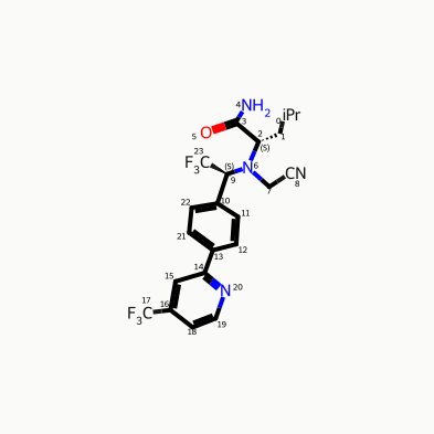 CC(C)C[C@@H](C(N)=O)N(CC#N)[C@@H](c1ccc(-c2cc(C(F)(F)F)ccn2)cc1)C(F)(F)F